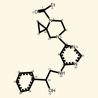 CCC(=O)N1CCN(c2cc(NCC(O)c3ccccc3)ncn2)CC12CC2